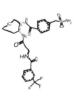 NS(=O)(=O)c1ccc(C(=O)N[C@H]2CCCC[C@H]2NC(=O)CNC(=O)c2cccc(C(F)(F)F)c2)cc1